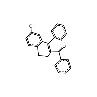 O=C(C1=C(c2ccccc2)c2cc(O)ccc2CC1)c1ccccc1